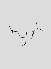 CCC1(CCNC)CN(C(C)C)C1